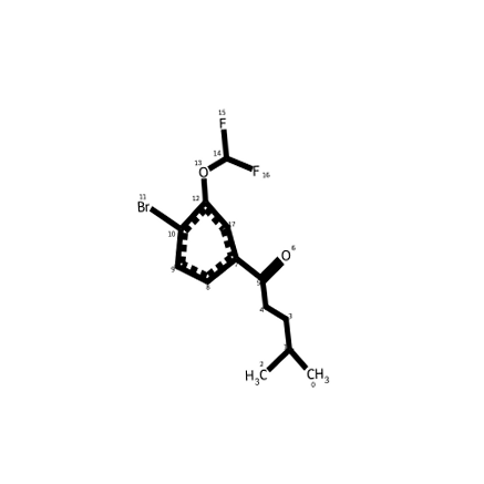 C[C](C)CCC(=O)c1ccc(Br)c(OC(F)F)c1